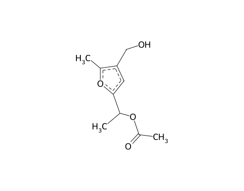 CC(=O)OC(C)c1cc(CO)c(C)o1